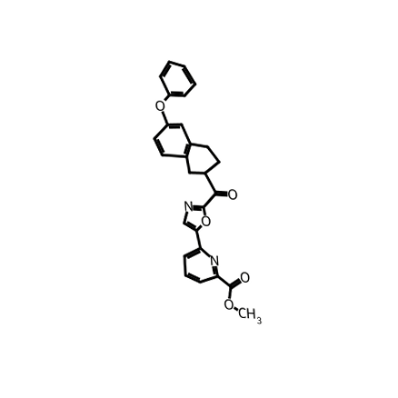 COC(=O)c1cccc(-c2cnc(C(=O)C3CCc4cc(Oc5ccccc5)ccc4C3)o2)n1